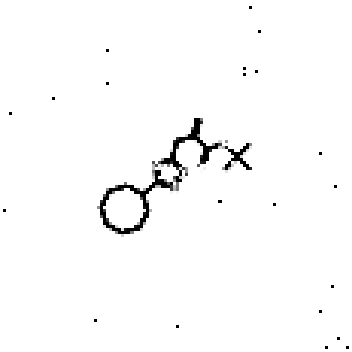 C=C(Cc1nc(C2CCCCCCC2)no1)C(=O)OC(C)(C)C